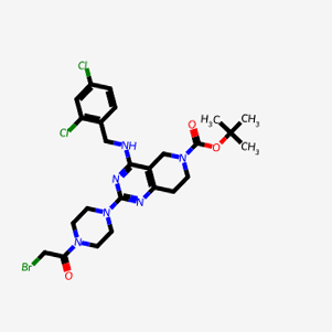 CC(C)(C)OC(=O)N1CCc2nc(N3CCN(C(=O)CBr)CC3)nc(NCc3ccc(Cl)cc3Cl)c2C1